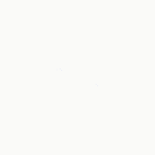 [C]1NCCc2cnccc21